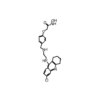 O=C(COc1ccc(CNCCNc2c3c(nc4cc(Cl)ccc24)CCCC3)cc1)NO